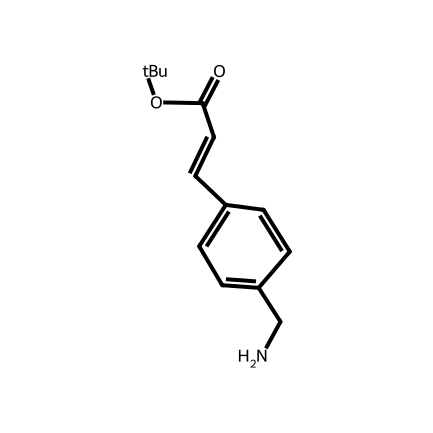 CC(C)(C)OC(=O)C=Cc1ccc(CN)cc1